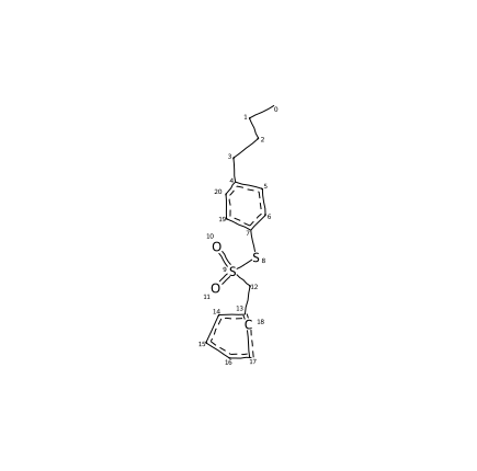 CCCCc1ccc(SS(=O)(=O)Cc2ccccc2)cc1